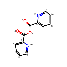 O=C(OC(=O)c1ccccn1)c1ccccn1